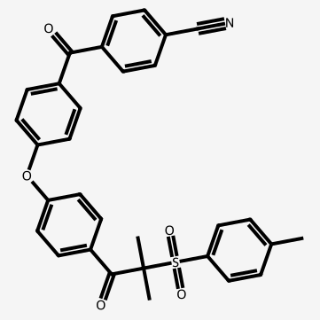 Cc1ccc(S(=O)(=O)C(C)(C)C(=O)c2ccc(Oc3ccc(C(=O)c4ccc(C#N)cc4)cc3)cc2)cc1